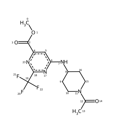 COC(=O)c1cc(NC2CCN(C(C)=O)CC2)nc(C(F)(F)F)n1